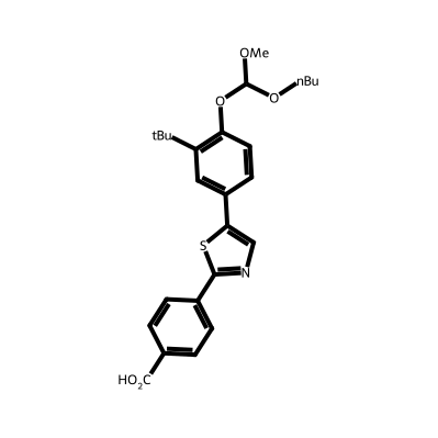 CCCCOC(OC)Oc1ccc(-c2cnc(-c3ccc(C(=O)O)cc3)s2)cc1C(C)(C)C